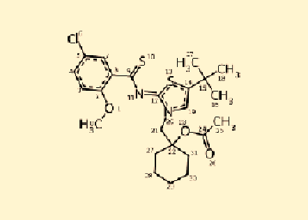 COc1ccc(Cl)cc1C(=S)N=c1sc(C(C)(C)C)cn1CC1(OC(C)=O)CCCCC1